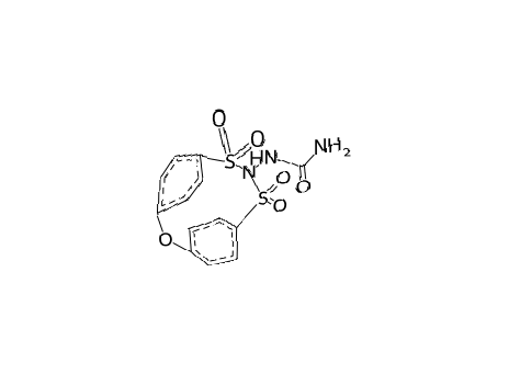 NC(=O)NN1S(=O)(=O)c2ccc(cc2)Oc2ccc(cc2)S1(=O)=O